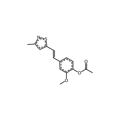 COc1cc(C=Cc2cc(C)ns2)ccc1OC(C)=O